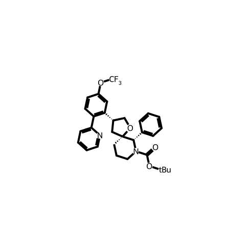 CC(C)(C)OC(=O)N1CCC[C@@]2(C[C@H](c3cc(OC(F)(F)F)ccc3-c3ccccn3)CO2)[C@@H]1c1ccccc1